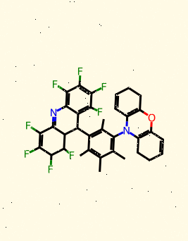 Cc1c(C)c(C2c3c(F)c(F)c(F)c(F)c3N=C3C(F)=C(F)C(F)C(F)C32)c(C)c(N2C3=C(CCC=C3)OC3=C2CCC=C3)c1C